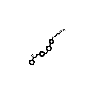 CCCOCCCOc1ccc(-c2ccc(Cc3ccc(/C=C/C(=O)c4ccccc4)cc3)cc2)cc1